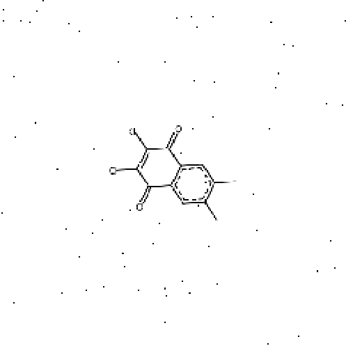 Cc1cc2c(cc1C)C(=O)C(Cl)=C(Cl)C2=O